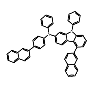 c1ccc(N(c2ccc(-c3ccc4ccccc4c3)cc2)c2ccc3c4c(-c5ccc6ccccc6c5)cccc4n(-c4ccccc4)c3c2)cc1